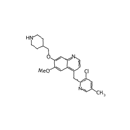 COc1cc2c(Cc3ncc(C)cc3Cl)ccnc2cc1OCC1CCNCC1